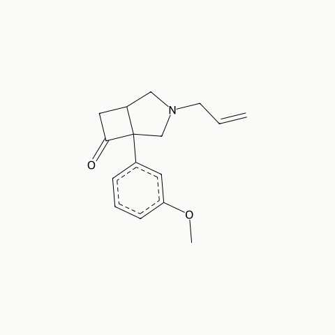 C=CCN1CC2CC(=O)C2(c2cccc(OC)c2)C1